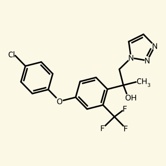 CC(O)(Cn1ccnn1)c1ccc(Oc2ccc(Cl)cc2)cc1C(F)(F)F